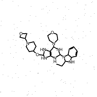 CCC1NC2C=CC=CC2N1C1NC2=C(NC(OC3CCN(C4COC4)CC3)N2)C(N2CCOCC2)N1